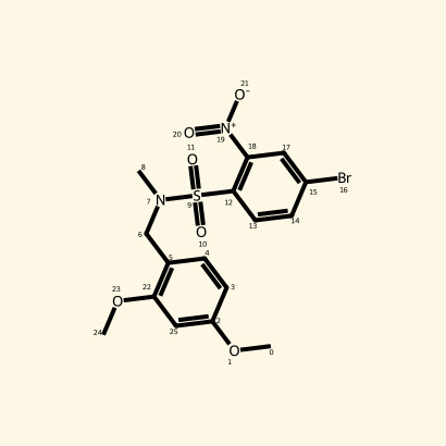 COc1ccc(CN(C)S(=O)(=O)c2ccc(Br)cc2[N+](=O)[O-])c(OC)c1